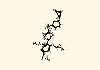 CCOCOc1cc(C)cc(C)c1-c1cnc(N[C@@H]2CCCN(C3CC3)C2)nn1